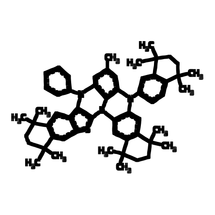 Cc1cc2c3c(c1)N(c1ccccc1)c1c(sc4cc5c(cc14)C(C)(C)CCC5(C)C)B3c1cc3c(cc1N2c1ccc2c(c1)C(C)(C)CCC2(C)C)C(C)(C)CCC3(C)C